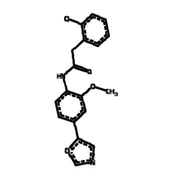 COc1cc(-c2cnco2)ccc1NC(=O)Cc1ccccc1Cl